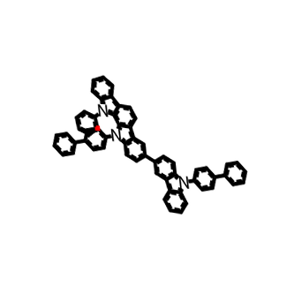 c1ccc(-c2ccc(-n3c4ccccc4c4cc(-c5ccc6c(c5)c5ccc7c8ccccc8n(-c8ccccc8)c7c5n6-c5ccc(-c6ccccc6)cc5)ccc43)cc2)cc1